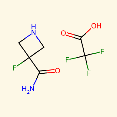 NC(=O)C1(F)CNC1.O=C(O)C(F)(F)F